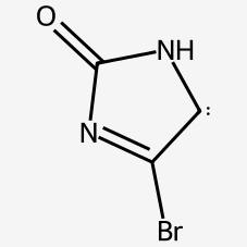 O=C1N=C(Br)[C]N1